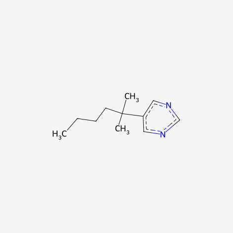 CCCCC(C)(C)c1cncnc1